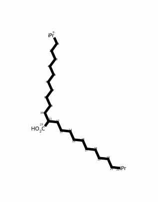 CC(C)CCCCCCCCCCC(CCCCCCCCCCC(C)C)C(=O)O